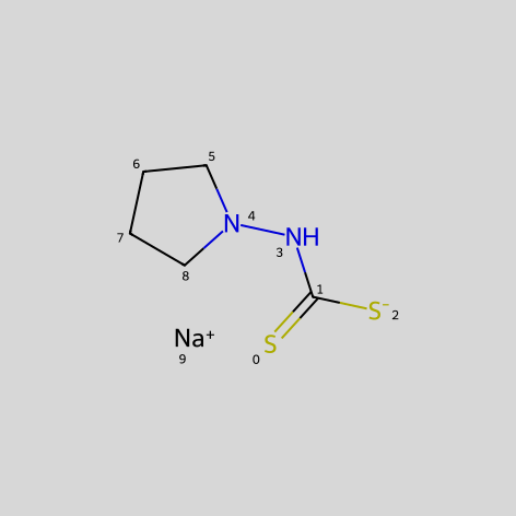 S=C([S-])NN1CCCC1.[Na+]